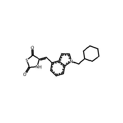 O=C1NC(=Cc2cccc3c2ccn3CC2CCCCC2)C(=O)S1